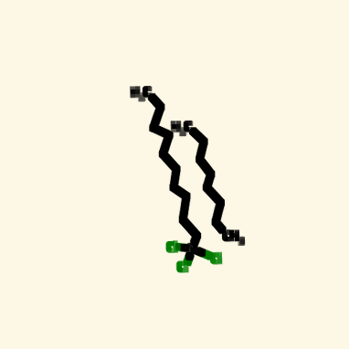 CCCCCCCC.CCCCCCCCCC[Si](Cl)(Cl)Cl